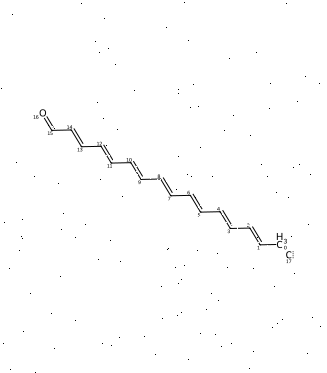 CC=CC=CC=CC=CC=CC=CC=CC=O.[C]